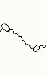 CC1CCCC(CCCCCCCCCCC2CCCC(C=O)C2)C1